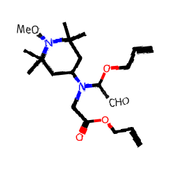 C=CCOC(=O)CN(C1CC(C)(C)N(OC)C(C)(C)C1)C(C=O)OCC=C